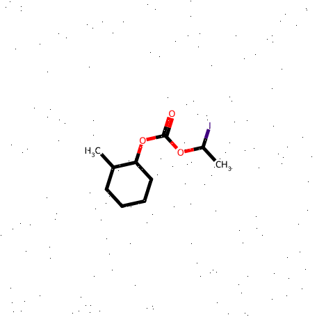 CC(I)OC(=O)OC1CCCCC1C